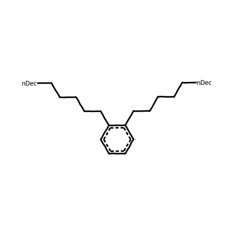 CCCCCCCCCCCCCCCc1[c]cccc1CCCCCCCCCCCCCCC